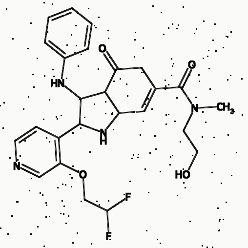 CN(CCO)C(=O)C1=CC2NC(c3ccncc3OCC(F)F)C(Nc3ccccc3)C2C(=O)C1